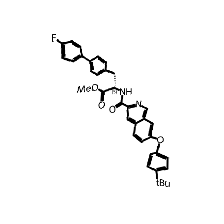 COC(=O)[C@H](Cc1ccc(-c2ccc(F)cc2)cc1)NC(=O)c1cc2ccc(Oc3ccc(C(C)(C)C)cc3)cc2cn1